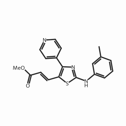 COC(=O)C=Cc1sc(Nc2cccc(C)c2)nc1-c1ccncc1